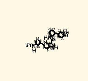 CC(C)Nc1cncc(-c2ccc3[nH]nc(-c4nc5c(-c6ccc7c(c6)OCO7)cccc5[nH]4)c3n2)c1